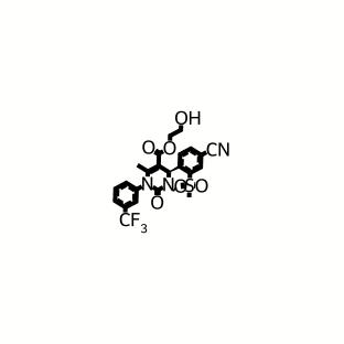 CC1=C(C(=O)OCCO)[C@@H](c2ccc(C#N)cc2S(C)(=O)=O)N(C)C(=O)N1c1cccc(C(F)(F)F)c1